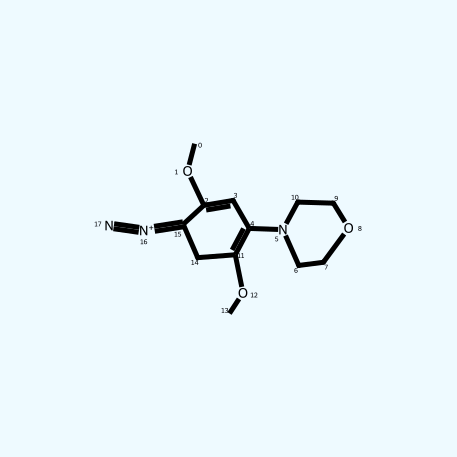 COC1=CC(N2CCOCC2)=C(OC)CC1=[N+]=[N-]